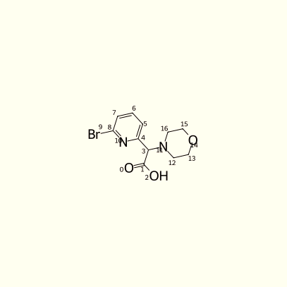 O=C(O)C(c1cccc(Br)n1)N1CCOCC1